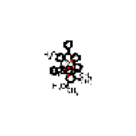 Cc1cc(C(c2ccccc2)c2ccccc2)c(N2C=C3C=CC=C(c4c(C(C)C)cc(C(C)C)cc4C(C)C)N3[CH]2[Cu-][Cl])c(C(c2ccccc2)c2ccccc2)c1